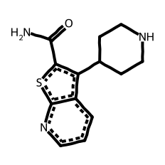 NC(=O)c1sc2ncccc2c1C1CCNCC1